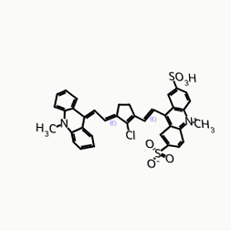 CN1c2ccccc2C(=C/C=C2\CCC(/C=C/c3c4cc(S(=O)(=O)[O-])ccc4[n+](C)c4ccc(S(=O)(=O)O)cc34)=C2Cl)c2ccccc21